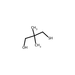 CC(C)(CO)CS